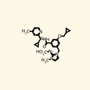 Cc1ccnc([C@@H](NC(=O)c2cc(Cn3ccn(C)/c3=N\C(=O)O)cc(OCC3CC3)c2)C2CC2)c1